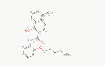 CCCCCCCCCCCCCCOc1ccccc1NC(=O)c1ccc2c(OC(C)=O)cccc2c1O